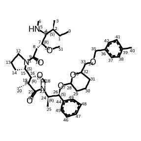 CC[C@H](C)[C@H](NC)[C@@H](CC(=O)N1CCC[C@H]1[C@H](OC)[C@@H](C)C(=O)N[C@H](C)[C@@H](OC1CCCC(COCc2ccc(C)cc2)O1)c1ccccc1)OC